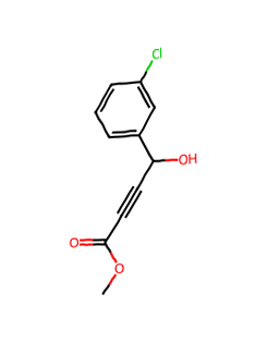 COC(=O)C#CC(O)c1cccc(Cl)c1